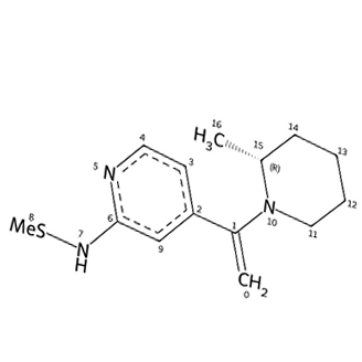 C=C(c1ccnc(NSC)c1)N1CCCC[C@H]1C